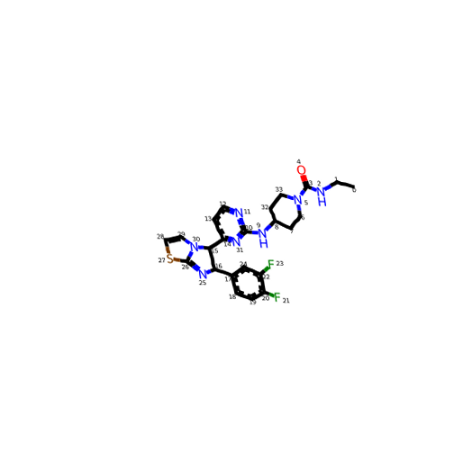 CCNC(=O)N1CCC(Nc2nccc(C3C(c4ccc(F)c(F)c4)N=C4SC=CN43)n2)CC1